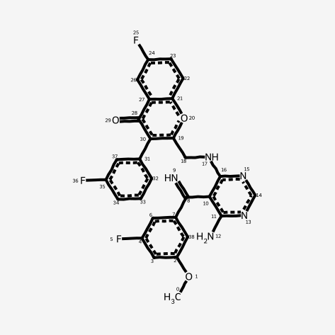 COc1cc(F)cc(C(=N)c2c(N)ncnc2NCc2oc3ccc(F)cc3c(=O)c2-c2cccc(F)c2)c1